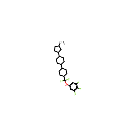 CC1CCC(C2CCC(C3CCC(C(F)(F)Oc4cc(F)c(F)c(F)c4)CC3)CC2)C1